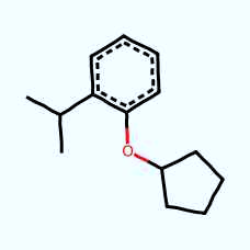 CC(C)c1ccccc1OC1CCCC1